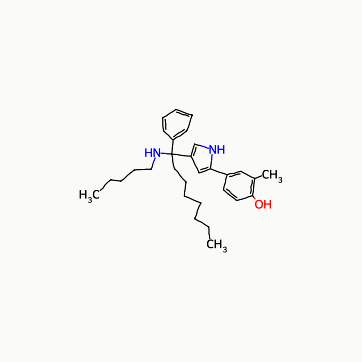 CCCCCCCC(NCCCCC)(c1ccccc1)c1c[nH]c(-c2ccc(O)c(C)c2)c1